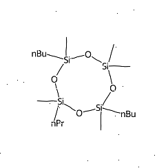 CCCC[Si]1(C)O[Si](C)(C)O[Si](C)(CCCC)O[Si](C)(CCC)O1